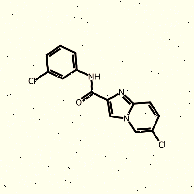 O=C(Nc1cccc(Cl)c1)c1cn2cc(Cl)ccc2n1